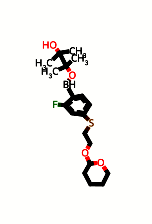 CC(C)(O)C(C)(C)OBc1ccc(SCCOC2CCCCO2)cc1F